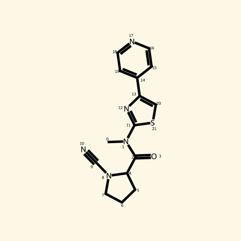 CN(C(=O)C1CCCN1C#N)c1nc(-c2ccncc2)cs1